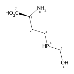 N[C@@H](CCPCO)C(=O)O